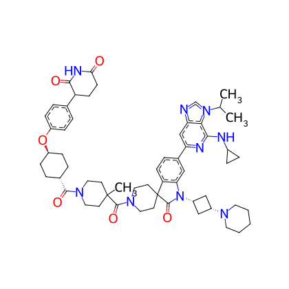 CC(C)n1cnc2cc(-c3ccc4c(c3)N([C@H]3C[C@@H](N5CCCCC5)C3)C(=O)C43CCN(C(=O)C4(C)CCN(C(=O)[C@H]5CC[C@H](Oc6ccc(C7CCC(=O)NC7=O)cc6)CC5)CC4)CC3)nc(NC3CC3)c21